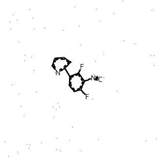 [C-]#[N+]c1c(F)ccc(-c2ccccn2)c1F